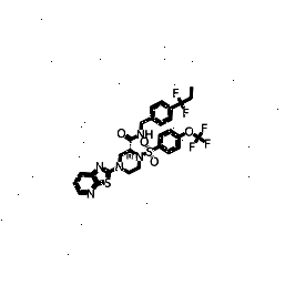 CCC(F)(F)c1ccc(CNC(=O)[C@H]2CN(c3nc4cccnc4s3)CCN2S(=O)(=O)c2ccc(OC(F)(F)F)cc2)cc1